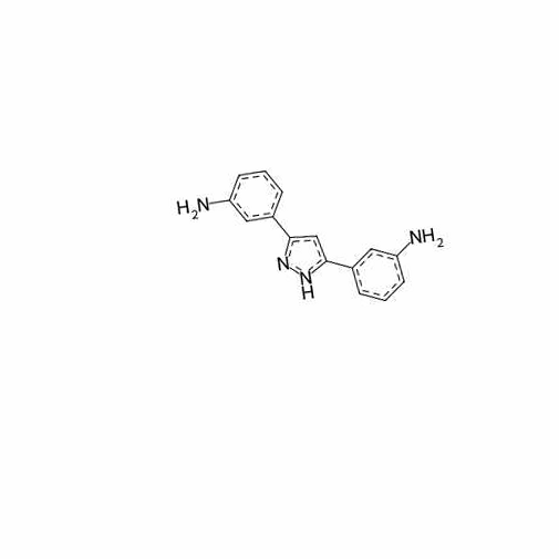 Nc1cccc(-c2cc(-c3cccc(N)c3)[nH]n2)c1